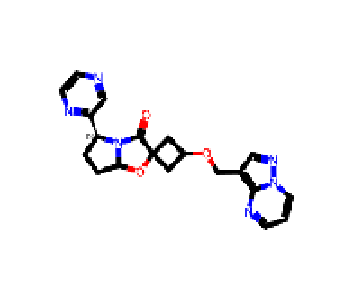 O=C1N2C(CC[C@H]2c2cnccn2)OC12CC(OCc1cnn3cccnc13)C2